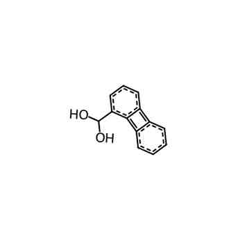 OC(O)c1cccc2c1=c1ccccc1=2